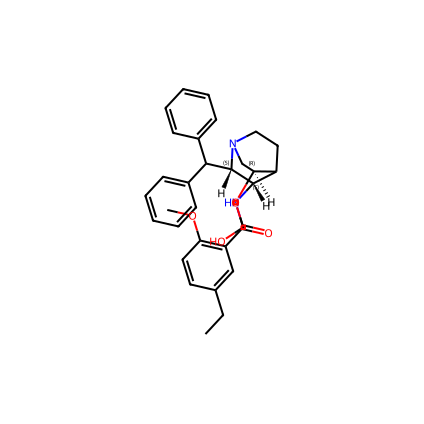 CCc1ccc(OC)c(CN[C@H]2C3CCN(C[C@@H]3OC(=O)O)[C@H]2C(c2ccccc2)c2ccccc2)c1